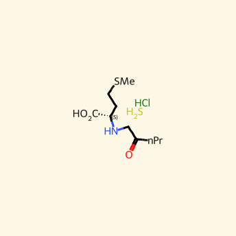 CCCC(=O)CN[C@@H](CCSC)C(=O)O.Cl.S